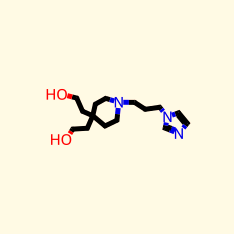 OCCC1(CCO)CCN(CCCn2ccnc2)CC1